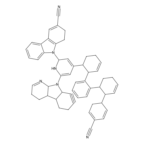 N#CC1=CCC(C2C=CCCC2c2ccccc2C2C=CCCC2C2=CC(n3c4c(c5ccccc53)C=C(C#N)CC4)NC(N3C4C#CCCC4C4CCC=NC43)=C2)C=C1